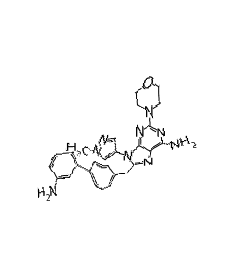 Cn1cc(-n2c(Cc3ccc(-c4cccc(N)c4)cc3)nc3c(N)nc(N4CCOCC4)nc32)cn1